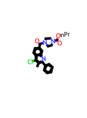 CCCOC(=O)N1CCN(C(=O)c2ccc3c(Cl)c(C)c(-c4ccccc4)nc3c2)CC1